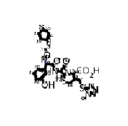 Cn1nnnc1SCC1=C(C(=O)O)N2C(=O)C(NC(=O)/C(=N\OCSc3ccccc3)c3cccc(O)c3)[C@H]2SC1